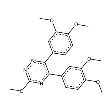 COc1nnc(-c2ccc(OC)c(OC)c2)c(-c2ccc(OC)c(OC)c2)n1